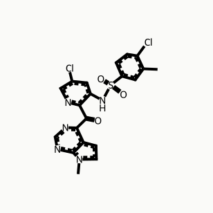 Cc1cc(S(=O)(=O)Nc2cc(Cl)cnc2C(=O)c2ncnc3c2ccn3C)ccc1Cl